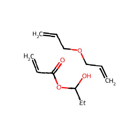 C=CC(=O)OC(O)CC.C=CCOCC=C